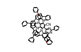 N#Cc1c(-c2nc(-c3ccccc3)nc(-c3ccccc3)n2)c(-n2c3ccccc3c3cc(-c4ccccc4)ccc32)c(-n2c3ccccc3c3cc(-c4ccccc4)ccc32)c(-n2c3ccccc3c3cc(-c4ccccc4)ccc32)c1-n1c2ccccc2c2cc(-c3ccccc3)ccc21